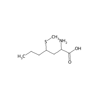 CCCC(CC(N)C(=O)O)SC